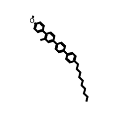 CCCCCCCCCCc1ccc(-c2ccc(-c3ccc(-c4ccc(OC)cc4)c(C)c3)cc2)cc1